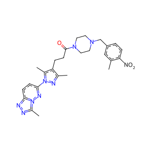 Cc1cc(CN2CCN(C(=O)CCc3c(C)nn(-c4ccc5nnc(C)n5n4)c3C)CC2)ccc1[N+](=O)[O-]